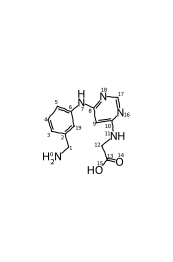 NCc1cccc(Nc2cc(NCC(=O)O)ncn2)c1